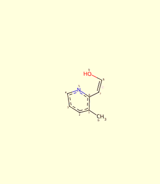 Cc1cccnc1/C=C\O